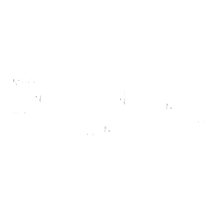 CON(C)c1ccc2c(NCCN3CCOCC3)noc2c1